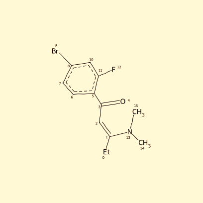 CC/C(=C/C(=O)c1ccc(Br)cc1F)N(C)C